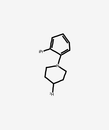 [2H]C1CCN(c2ccccc2C(C)C)CC1